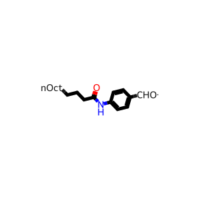 CCCCCCCCCCCC(=O)Nc1ccc([C]=O)cc1